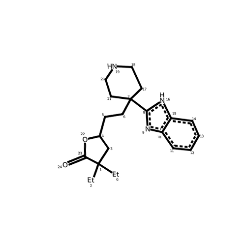 CCC1(CC)CC(CCC2(c3nc4ccccc4[nH]3)CCNCC2)OC1=O